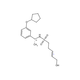 C[C@@H](NS(=O)(=O)CC/C=C/CO)c1cccc(OC2CCCC2)c1